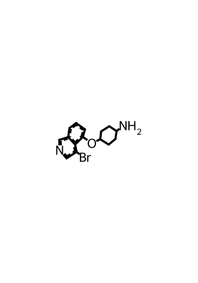 NC1CCC(Oc2cccc3cncc(Br)c23)CC1